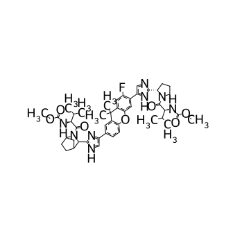 COC(=O)N[C@H](C(=O)N1C2CCC(C2)C1c1nc(-c2ccc3c(c2)C(C)(C)c2cc(F)c(-c4cnc([C@@H]5CCCN5C(=O)[C@@H](NC(=O)OC)C(C)C)[nH]4)cc2O3)c[nH]1)C(C)C